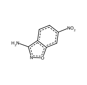 Nc1noc2cc([N+](=O)[O-])ccc12